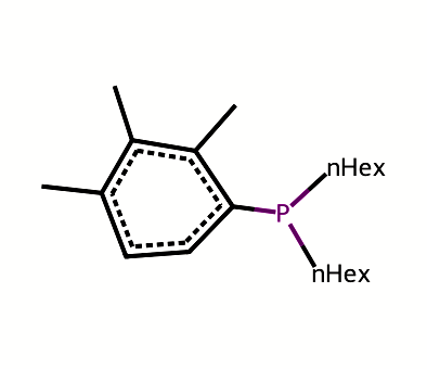 CCCCCCP(CCCCCC)c1ccc(C)c(C)c1C